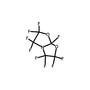 FC12OC(F)(F)C(F)(F)N1C(F)(F)C(F)(F)O2